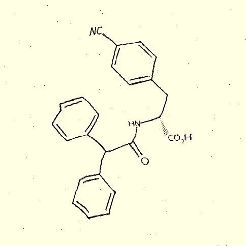 N#Cc1ccc(C[C@@H](NC(=O)C(c2ccccc2)c2ccccc2)C(=O)O)cc1